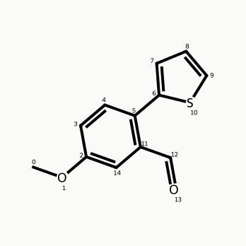 COc1ccc(-c2cccs2)c(C=O)c1